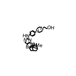 COC12CC3CC(C1)C(Nc1nc(Nc4ccc(N5CCN(CCO)CC5)cc4)ncc1Br)C(C3)C2